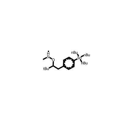 CCC[CH2][Sn]([CH2]CCC)([CH2]CCC)[c]1ccc(CC(O[SiH](C)C)C(C)(C)C)cc1